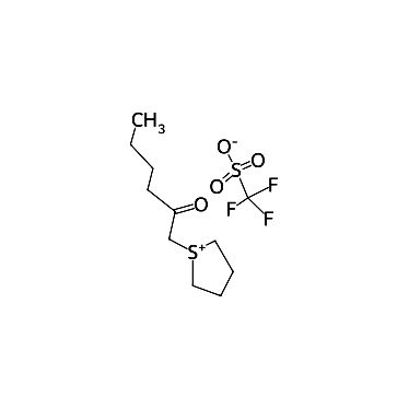 CCCCC(=O)C[S+]1CCCC1.O=S(=O)([O-])C(F)(F)F